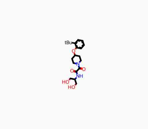 CC(C)(C)c1ccccc1OC1CCN(C(=O)C(=O)NC(CO)CO)CC1